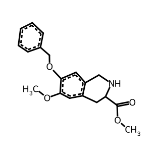 COC(=O)C1Cc2cc(OC)c(OCc3ccccc3)cc2CN1